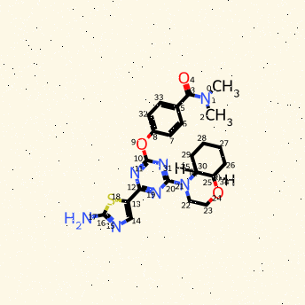 CN(C)C(=O)c1ccc(Oc2nc(-c3cnc(N)s3)nc(N3CCO[C@@H]4CCCC[C@H]43)n2)cc1